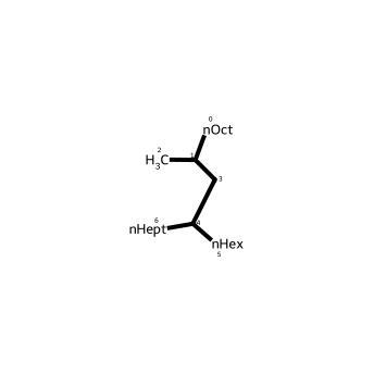 CCCCCCCCC(C)[CH]C(CCCCCC)CCCCCCC